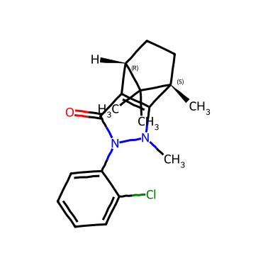 Cn1c2c(c(=O)n1-c1ccccc1Cl)[C@@H]1CC[C@@]2(C)C1(C)C